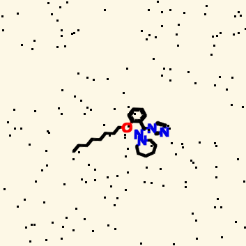 CCCCCCCCOc1ccccc1C(=NN1CCCCCC1)n1ccnc1